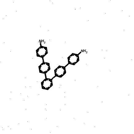 Nc1ccc(-c2ccc(-c3ccccc3-c3ccc(-c4ccc(N)cc4)cc3)cc2)cc1